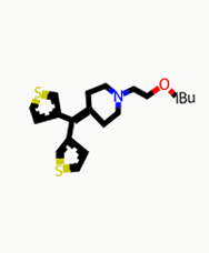 CCC(C)OCCN1CCC(=C(c2ccsc2)c2ccsc2)CC1